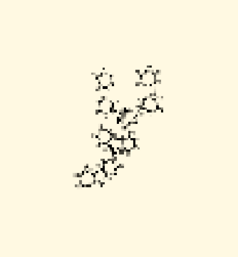 c1ccc(-c2cccc(C3=NC(c4cccc5c4c4ccccc4n5-c4ccc5sc6ccccc6c5c4)=NC(c4cccc(-c5ccccc5)c4)N3)c2)cc1